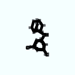 Clc1cc(Cl)cc(NC2CN3CCC2CC3)c1